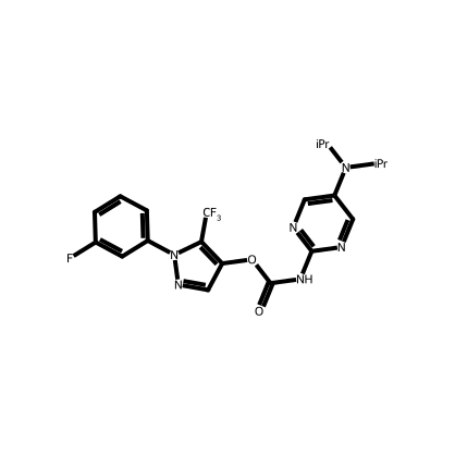 CC(C)N(c1cnc(NC(=O)Oc2cnn(-c3cccc(F)c3)c2C(F)(F)F)nc1)C(C)C